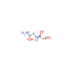 NC(O)CNC(=O)CO